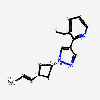 Cc1cccnc1-c1cnn([C@H]2C[C@H](C=CC#N)C2)c1